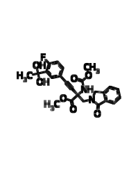 COC(=O)N[C@](C#Cc1ccc(F)c(C(C)(O)O)c1)(CN1Cc2ccccc2C1=O)C(=O)OC